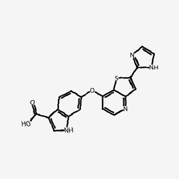 O=C(O)c1c[nH]c2cc(Oc3ccnc4cc(-c5ncc[nH]5)sc34)ccc12